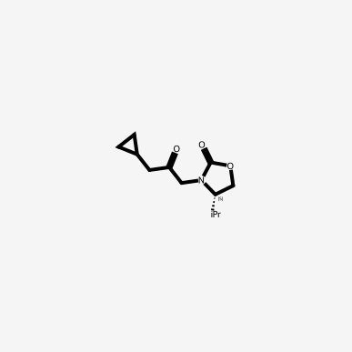 CC(C)[C@H]1COC(=O)N1CC(=O)CC1CC1